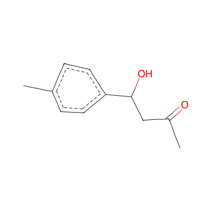 CC(=O)CC(O)c1ccc(C)cc1